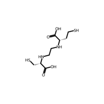 O=C(O)[C@H](CS)NCCN[C@@H](CCS)C(=O)O